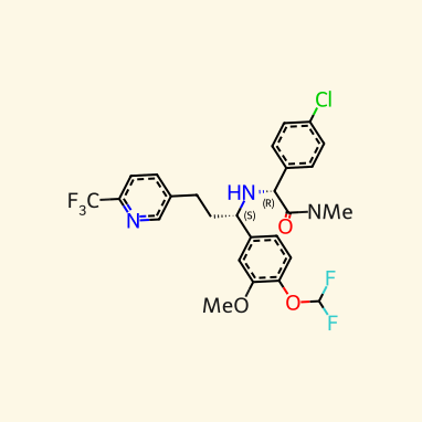 CNC(=O)[C@H](N[C@@H](CCc1ccc(C(F)(F)F)nc1)c1ccc(OC(F)F)c(OC)c1)c1ccc(Cl)cc1